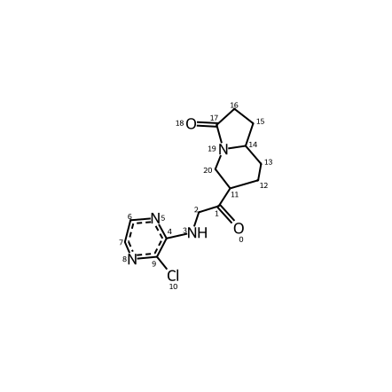 O=C(CNc1nccnc1Cl)C1CCC2CCC(=O)N2C1